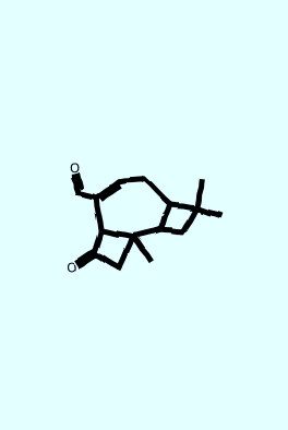 CC1(C)CC2C1CC=C(C=O)C1C(=O)CC12C